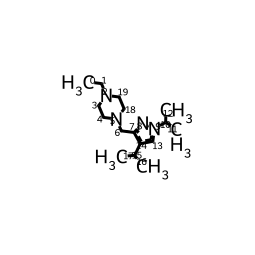 CCN1CCN(Cc2nn(C(C)C)cc2C(C)C)CC1